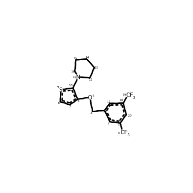 FC(F)(F)c1cc(COc2ccsc2N2CCCCC2)cc(C(F)(F)F)c1